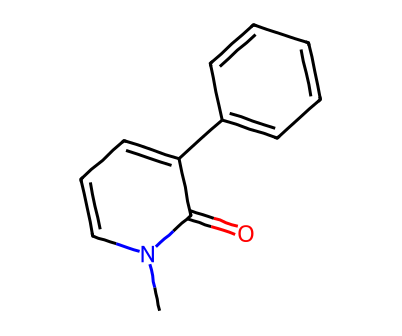 Cn1cccc(-c2ccccc2)c1=O